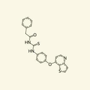 O=C(Cc1ccccc1)NC(=S)Nc1ccc(Oc2ccnc3ccsc23)cc1